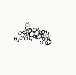 CC(C)C1=C2[C@H]3CC[C@@H]4[C@@]5(C)CCC(NC(=O)c6ncccn6)C(C)(C)[C@@H]5CC[C@@]4(C)[C@]3(C)CC[C@@]2(C)CC1=O